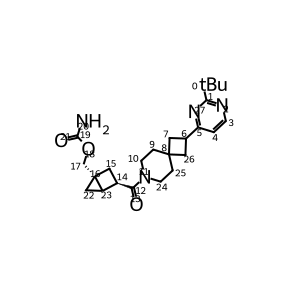 CC(C)(C)c1nccc(C2CC3(CCN(C(=O)[C@@H]4C[C@]5(COC(N)=O)CC45)CC3)C2)n1